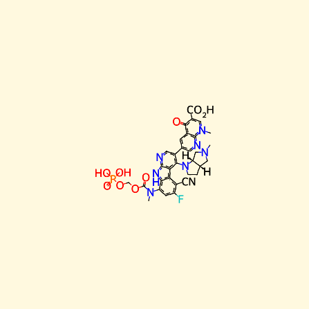 CN1C[C@@H]2CCN(c3c(-c4cnc5c(c4)c(=O)c(C(=O)O)cn5C)cnc4[nH]c5c(N(C)C(=O)OCOP(=O)(O)O)cc(F)c(C#N)c5c34)[C@@H]2C1